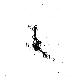 C=CC(=O)OCCCCCCOc1ccc(C(=O)Oc2cc(/C=N/N(C)c3nc4cccnc4s3)c(OC(=O)c3ccc(OCCCCCCOC(=O)C=C)cc3)c3ccccc23)cc1